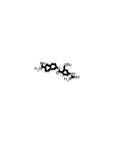 CC(C)(C)Cc1cc(NC(=N)N)ccc1C(=O)Oc1ccc2cc(C(=N)N)ccc2c1